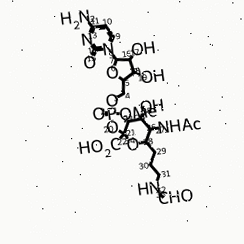 COP(=O)(OCC1OC(n2ccc(N)nc2=O)C(O)[C@H]1O)OC1(C(=O)O)CC(O)C(NC(C)=O)C(CCCNC=O)O1